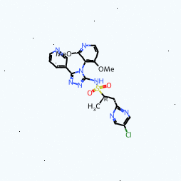 COc1ccnc(OC)c1-n1c(NS(=O)(=O)[C@H](C)Cc2ncc(Cl)cn2)nnc1-c1cccnc1